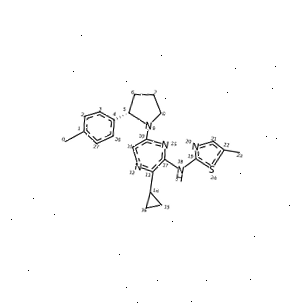 Cc1ccc([C@@H]2CCCN2c2cnc(C3CC3)c(Nc3ncc(C)s3)n2)cc1